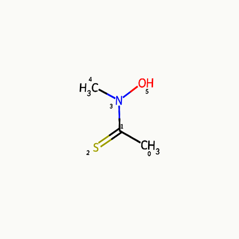 CC(=S)N(C)O